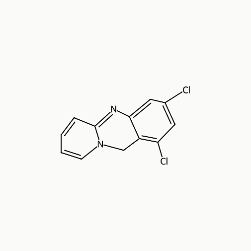 Clc1cc(Cl)c2c(c1)N=C1C=CC=CN1C2